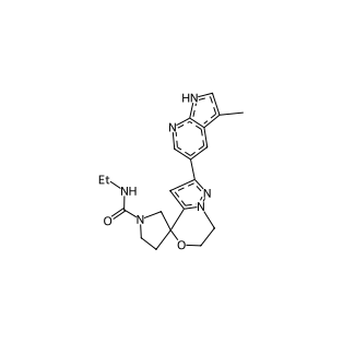 CCNC(=O)N1CCC2(C1)OCCn1nc(-c3cnc4[nH]cc(C)c4c3)cc12